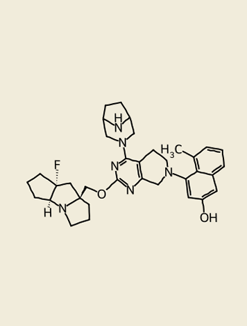 Cc1cccc2cc(O)cc(N3CCc4c(nc(OC[C@@]56CCCN5[C@H]5CCC[C@@]5(F)C6)nc4N4CC5CCC(C4)N5)C3)c12